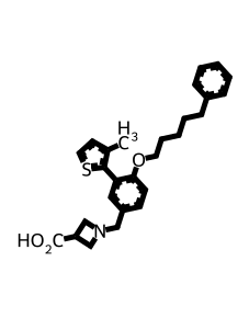 Cc1ccsc1-c1cc(CN2CC(C(=O)O)C2)ccc1OCCCCCc1ccccc1